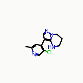 Cc1cc(-c2cnn3c2NCCC3)c(Cl)cn1